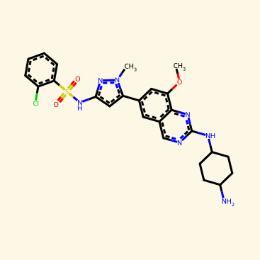 COc1cc(-c2cc(NS(=O)(=O)c3ccccc3Cl)nn2C)cc2cnc(NC3CCC(N)CC3)nc12